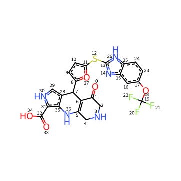 O=C1CNCC2=C1C(c1ccc(Sc3nc4cc(OC(F)(F)F)ccc4[nH]3)o1)c1c[nH]c(C(=O)O)c1N2